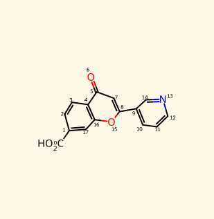 O=C(O)c1ccc2c(=O)cc(-c3cccnc3)oc2c1